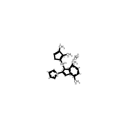 CC1=CC[C]([Hf+2][CH]2C(n3cccc3)=Cc3c(C)ccc(C)c32)=C1C.[Cl-].[Cl-]